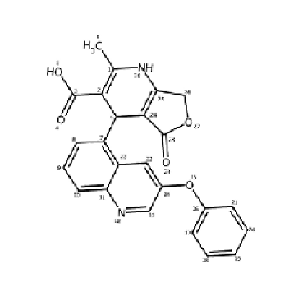 CC1=C(C(=O)O)C(c2cccc3ncc(Oc4ccccc4)cc23)C2=C(COC2=O)N1